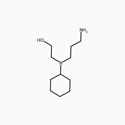 NCCCN(CCO)C1CCCCC1